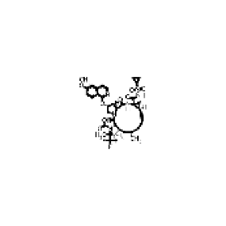 COc1ccc2c(O[C@@H]3C[C@H]4C(=O)N[C@]5(C(=O)NS(=O)(=O)C6CC6)C[C@H]5C=CCC[C@H](C)C[C@@H](C)[C@H](N(C(=O)O)C(C)(C)C(F)(F)F)C(=O)N4C3)nccc2c1